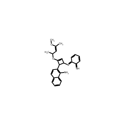 CO/C(C)=C\C(C)OC1=CC(/N=C2\C=CC=CC2=N)C1c1ccc2ccccc2c1N